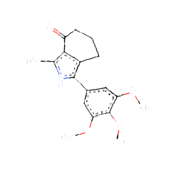 COc1cc(-c2[nH]c(C)c3c2CCCC3=O)cc(OC)c1OC